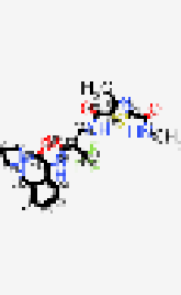 CNC(=O)c1nc(C)c(C(=O)NC[C@H](C(=O)N[C@@H]2C(=O)N3CCCN3Cc3ccccc32)C(F)(F)F)s1